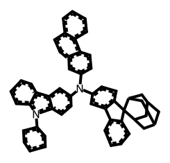 c1ccc(-n2c3ccccc3c3cc(N(c4ccc5c(c4)-c4ccccc4C54C5CC6CC(C5)CC4C6)c4ccc5c(ccc6ccccc65)c4)ccc32)cc1